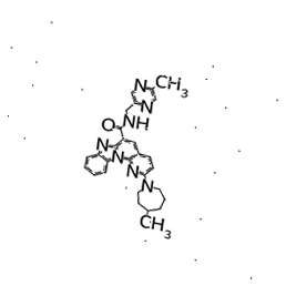 Cc1cnc(CNC(=O)c2cc3ccc(N4CCCC(C)CC4)nc3n3c2nc2ccccc23)cn1